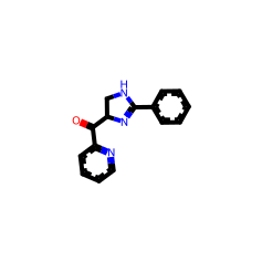 O=C(c1ccccn1)C1CNC(c2ccccc2)=N1